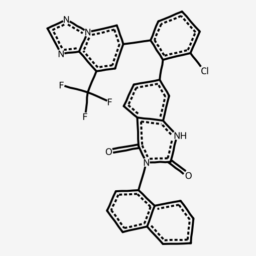 O=c1[nH]c2cc(-c3c(Cl)cccc3-c3cc(C(F)(F)F)c4ncnn4c3)ccc2c(=O)n1-c1cccc2ccccc12